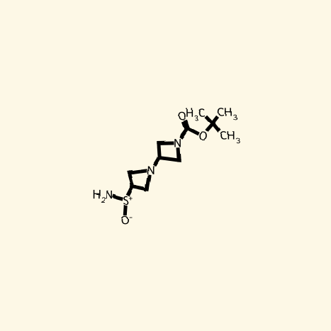 CC(C)(C)OC(=O)N1CC(N2CC([S+](N)[O-])C2)C1